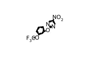 O=[N+]([O-])c1cnc(Oc2cccc(OC(F)(F)F)c2)nc1